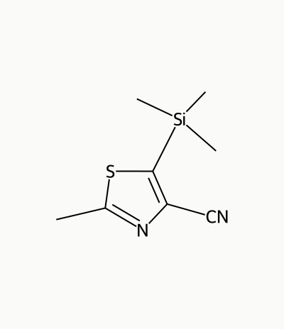 Cc1nc(C#N)c([Si](C)(C)C)s1